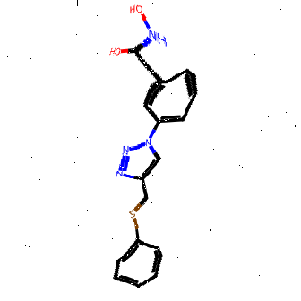 ONC(O)c1cccc(-n2cc(CSc3ccccc3)nn2)c1